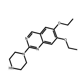 CCOc1cc2cnc(N3CCNCC3)nc2cc1OCC